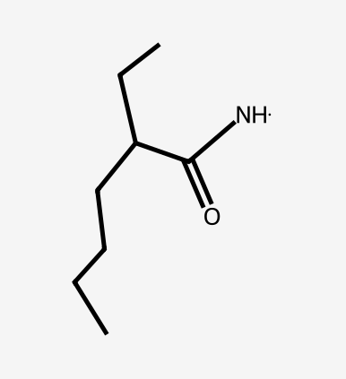 CCCCC(CC)C([NH])=O